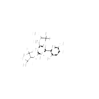 [2H]c1cc([2H])c(-c2nc(NC(C)C(F)(F)F)nc(NC(C([2H])([2H])[2H])C(F)(F)F)n2)nc1Cl